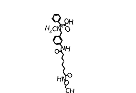 CCONC(=O)CCCCCCC(=O)Nc1cccc(CN(C)[C@H](C(=O)O)c2ccccc2)c1